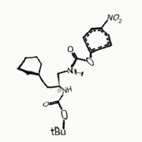 CC(C)(C)OC(=O)N[C@H](CNC(=O)Oc1ccc([N+](=O)[O-])cc1)CC1CCCCC1